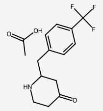 CC(=O)O.O=C1CCNC(Cc2ccc(C(F)(F)F)cc2)C1